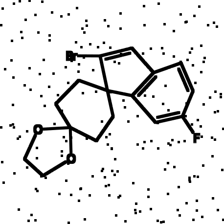 Fc1ccc2c(c1)C1(CCC3(CC1)OCCO3)C(Br)=C2